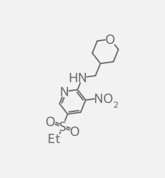 CCS(=O)(=O)c1cnc(NCC2CCOCC2)c([N+](=O)[O-])c1